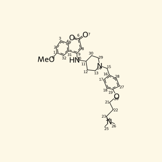 COc1ccc2oc(=O)cc(NC3CCN(Cc4ccc(OCCCN(C)C)cc4)CC3)c2c1